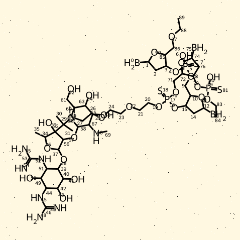 BC1CC(OP(O)(=S)OCC2OC(B)CC2OP(=S)(OCCOCCOCCNC(C)(C)C2(O)C(C)OC(OC3C(O)C(O)C(NC(=N)N)C(O)C3NC(=N)N)C2OC2OC(CO)C(O)C(O)C2NC)OCC2OC(B)CC2OP(O)(=S)OCC)C(COCC)O1